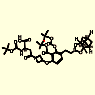 CC(C)(C)OC(=O)N[C@H](CC(=O)N1CC(Oc2ccc(CCB3O[C@@H]4C[C@@H]5C[C@@H](C5(C)C)[C@]4(C)O3)c(OC(=O)OC(C)(C)C)c2C(=O)OC(C)(C)C)C1)C(=O)O